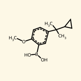 COc1ccc(C(C)(C)C2CC2)cc1B(O)O